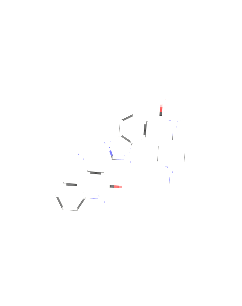 CN1CCC(N(C)C(=O)c2ccc3nc(-c4c(N)c5c(F)cccc5[nH]c4=O)[nH]c3c2)CC1